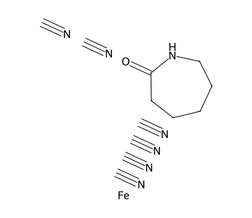 C#N.C#N.C#N.C#N.C#N.C#N.O=C1CCCCCN1.[Fe]